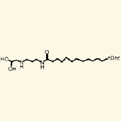 CCCCCCCCCCCCCCCCCCCCCC(=O)NCCCNCC(O)O